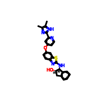 Cc1nc(-c2cc(Oc3ccc4nc(N[C@@H]5c6ccccc6C[C@@H]5O)sc4c3)ccn2)[nH]c1C